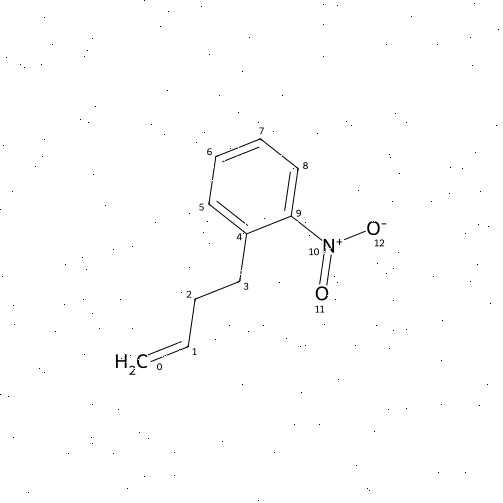 C=CCCc1ccccc1[N+](=O)[O-]